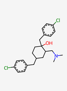 CN(C)CC1CC(Cc2ccc(Cl)cc2)CCC1(O)Cc1ccc(Cl)cc1